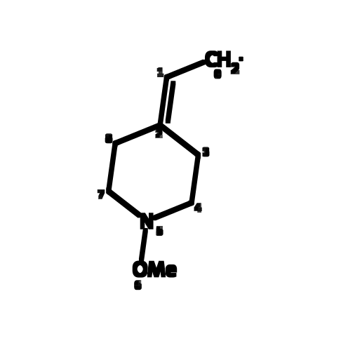 [CH2]C=C1CCN(OC)CC1